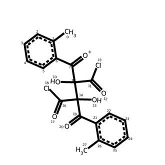 Cc1ccccc1C(=O)C(O)(C(=O)Cl)C(O)(C(=O)Cl)C(=O)c1ccccc1C